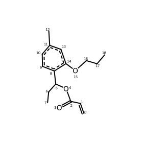 C=CC(=O)OC(CC)c1ccc(C)cc1OCCC